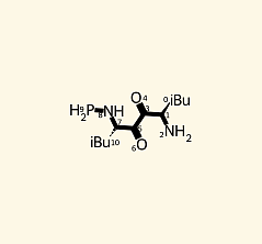 CC[C@H](C)C(N)C(=O)C(=O)C(NP)[C@@H](C)CC